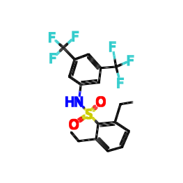 CCc1cccc(CC)c1S(=O)(=O)Nc1cc(C(F)(F)F)cc(C(F)(F)F)c1